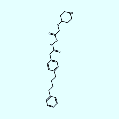 O=C(Cc1ccc(CCCCc2ccccc2)cc1)NOC(=O)COC1CCNCC1